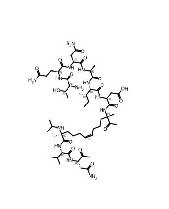 CC[C@H](C)[C@H](NC(=O)[C@H](C)NC(=O)[C@H](CC(N)=O)NC(=O)[C@H](CCC(N)=O)NC(=O)[C@@H](N)[C@@H](C)O)C(=O)N[C@@H](CC(=O)O)C(=O)N[C@@](C)(CCC/C=C\CCC[C@](C)(NC(C)C)C(=O)N[C@H](C(=O)N[C@@H](CC(N)=O)C(C)=O)C(C)C)C(C)=O